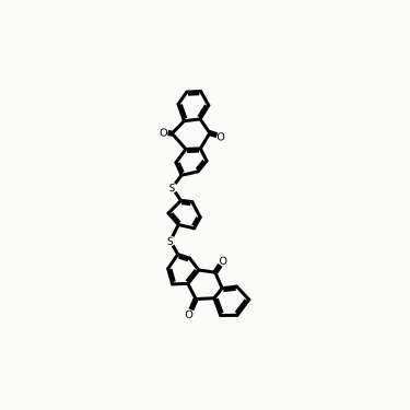 O=C1c2ccccc2C(=O)c2cc(Sc3cccc(Sc4ccc5c(c4)C(=O)c4ccccc4C5=O)c3)ccc21